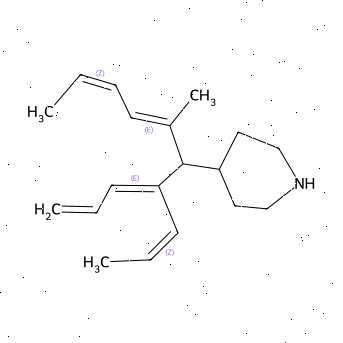 C=C/C=C(\C=C/C)C(/C(C)=C/C=C\C)C1CCNCC1